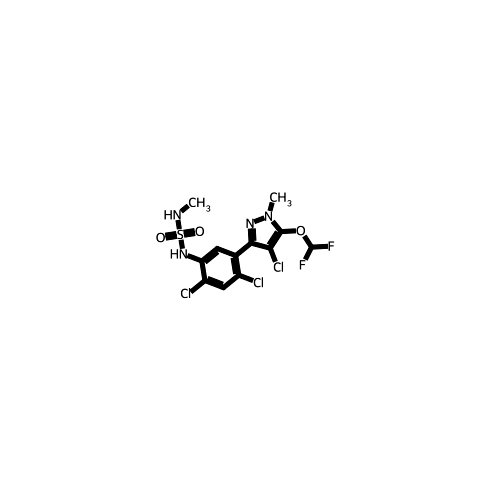 CNS(=O)(=O)Nc1cc(-c2nn(C)c(OC(F)F)c2Cl)c(Cl)cc1Cl